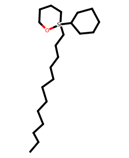 CCCCCCCCCCCC[Si]1(C2CCCCC2)CCCCO1